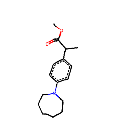 COC(=O)C(C)c1ccc(N2CCCCCC2)cc1